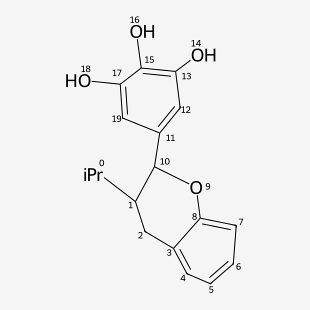 CC(C)C1Cc2ccccc2OC1c1cc(O)c(O)c(O)c1